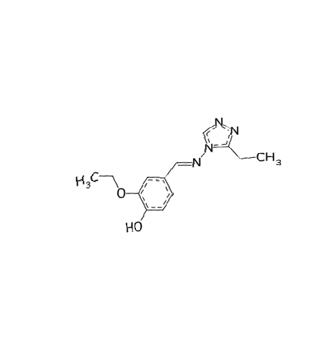 CCOc1cc(/C=N/n2cnnc2CC)ccc1O